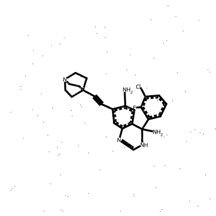 Nc1cc2c(cc1C#CC13CCN(CC1)CC3)N=CNC2(N)c1cccc(Cl)c1F